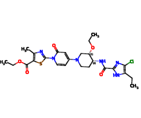 CCOC(=O)c1sc(-n2ccc(N3CC[C@@H](NC(=O)c4nc(Cl)c(CC)[nH]4)[C@@H](OCC)C3)cc2=O)nc1C